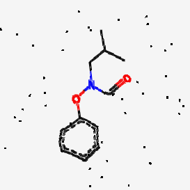 CC(C)CN(C=O)Oc1ccccc1